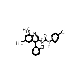 Cc1cc(C)c2ncc(NC(=O)Nc3ccc(Cl)cc3)c(-c3ccccc3Cl)c2c1